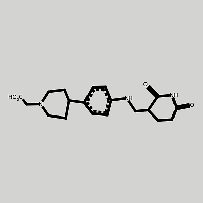 O=C(O)CN1CCC(c2ccc(NCC3CCC(=O)NC3=O)cc2)CC1